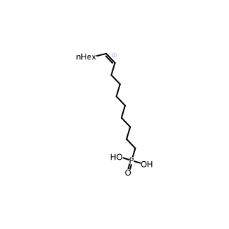 CCCCCC/C=C\CCCCCCCCP(=O)(O)O